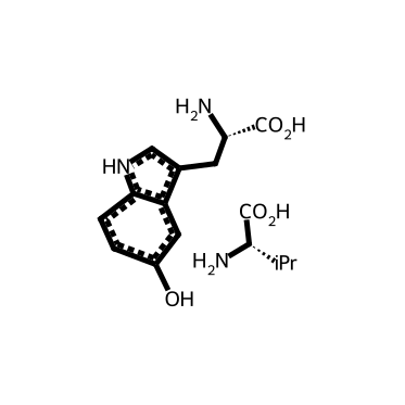 CC(C)[C@H](N)C(=O)O.N[C@@H](Cc1c[nH]c2ccc(O)cc12)C(=O)O